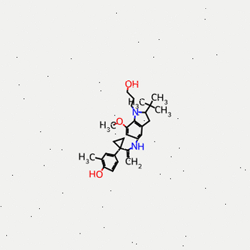 C=C(Nc1cc2c(c(OC)c1)N(CCCO)C(C(C)(C)C)C2)C1(c2ccc(O)c(C)c2)CC1